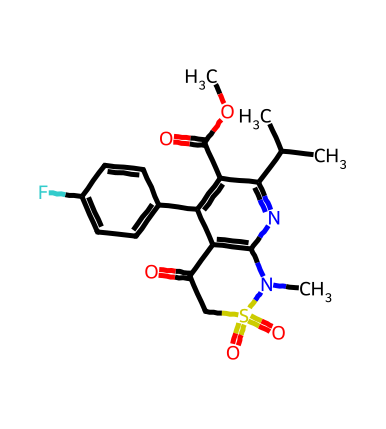 COC(=O)c1c(C(C)C)nc2c(c1-c1ccc(F)cc1)C(=O)CS(=O)(=O)N2C